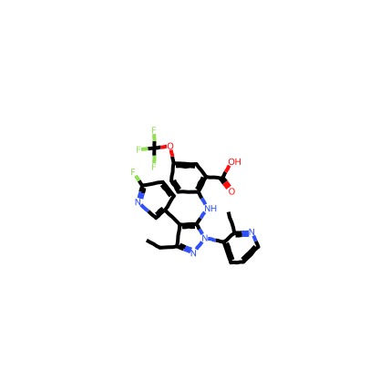 CCc1nn(-c2cccnc2C)c(Nc2ccc(OC(F)(F)F)cc2C(=O)O)c1-c1ccc(F)nc1